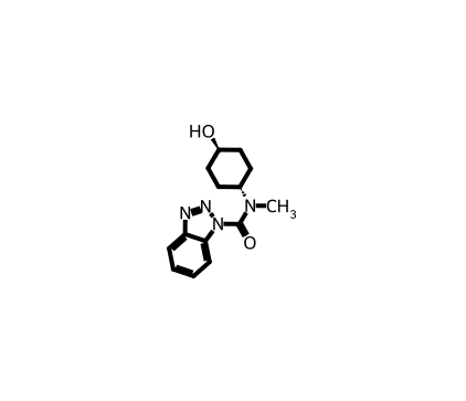 CN(C(=O)n1nnc2ccccc21)[C@H]1CC[C@H](O)CC1